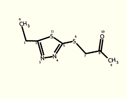 CCc1nnc(SCC(C)=O)s1